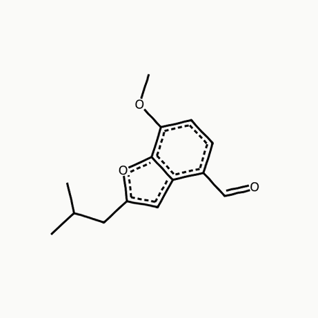 COc1ccc(C=O)c2cc(CC(C)C)oc12